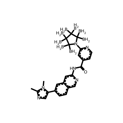 BC1(B)N(c2cc(C(=O)Nc3cc4cc(-c5cnc(C)n5C)ccc4cn3)ccn2)C(B)(B)C(B)(B)C1(B)B